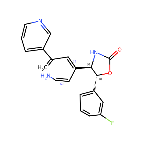 C=C(/C=C(\C=C/N)[C@H]1NC(=O)O[C@@H]1c1cccc(F)c1)c1cccnc1